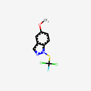 FC(F)(F)Oc1ccc2c(cnn2SC(F)(Cl)Cl)c1